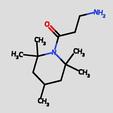 CC1CC(C)(C)N(C(=O)CCN)C(C)(C)C1